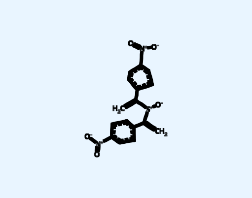 C=C(c1ccc([N+](=O)[O-])cc1)[S+]([O-])C(=C)c1ccc([N+](=O)[O-])cc1